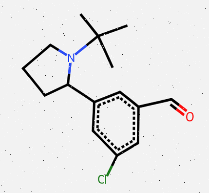 CC(C)(C)N1CCCC1c1cc(Cl)cc(C=O)c1